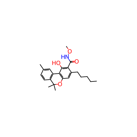 CCCCCc1cc2c(c(O)c1C(=O)NOC)-c1cc(C)ccc1C(C)(C)O2